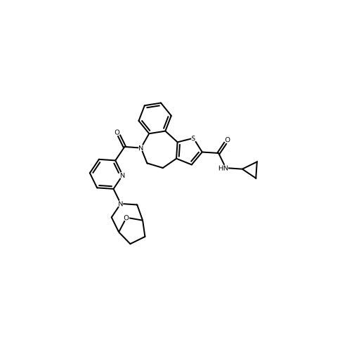 O=C(NC1CC1)c1cc2c(s1)-c1ccccc1N(C(=O)c1cccc(N3CC4CCC(C3)O4)n1)CC2